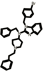 Brc1ccc(Cn2c(N(Cc3ccccc3)C3CCN(CCc4ccccc4)CC3)nc3ccccc32)cc1